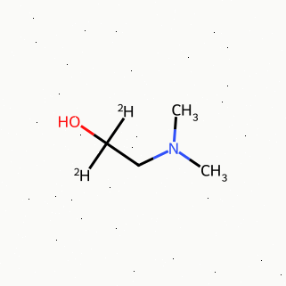 [2H]C([2H])(O)CN(C)C